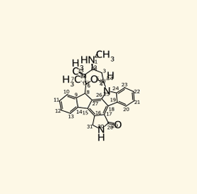 CN[C@H]1C[C@@H]2O[C@@](C)(C3c4ccccc4-c4c5c(c6c7ccccc7n2c6c43)C(=O)NC5)[C@H]1C